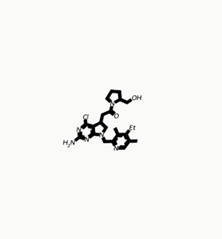 CCc1c(C)cnc(CN2CC(CC(=O)N3CCCC3CO)c3c(Cl)nc(N)nc32)c1C